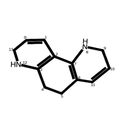 C1=CC2=C(CCC3=C2NCC=C3)NC1